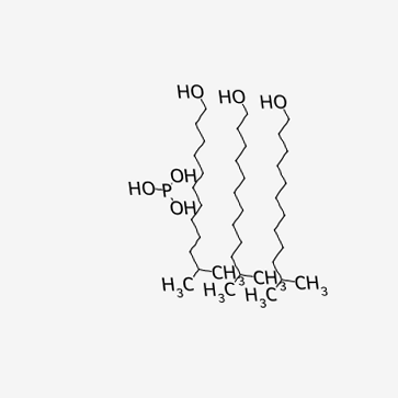 CC(C)CCCCCCCCCCO.CC(C)CCCCCCCCCCO.CC(C)CCCCCCCCCCO.OP(O)O